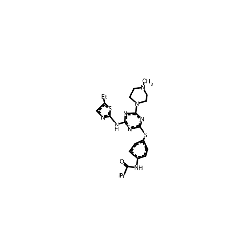 CCc1cnc(Nc2nc(Sc3ccc(NC(=O)C(C)C)cc3)nc(N3CCN(C)CC3)n2)s1